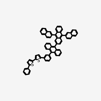 c1ccc(-c2ccc(-c3ccc(-c4cccc(-c5c6ccccc6c(-c6ccc7c(-c8ccc9ccccc9c8)c8ccccc8c(-c8ccc9ccccc9c8)c7c6)c6ccccc56)c4)s3)s2)cc1